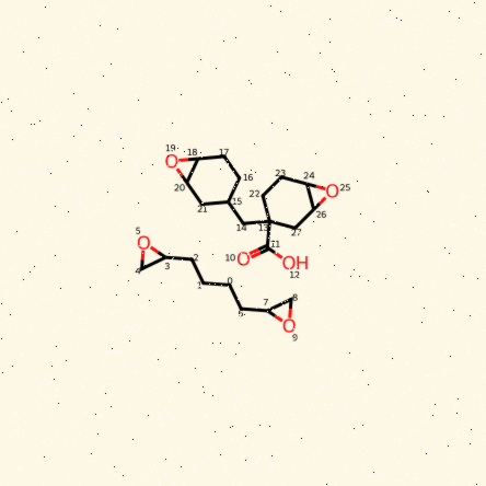 C(CCC1CO1)CC1CO1.O=C(O)C1(CC2CCC3OC3C2)CCC2OC2C1